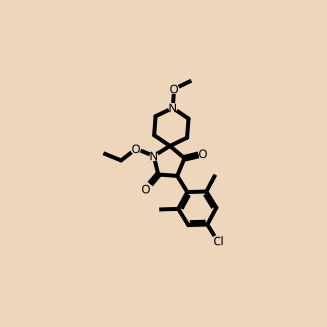 CCON1C(=O)C(c2c(C)cc(Cl)cc2C)C(=O)C12CCN(OC)CC2